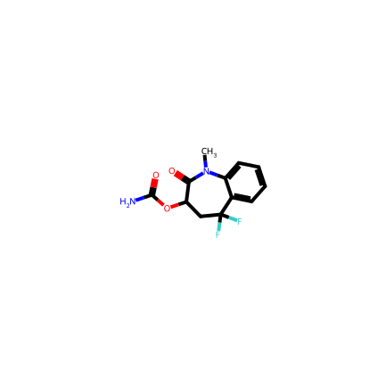 CN1C(=O)C(OC(N)=O)CC(F)(F)c2ccccc21